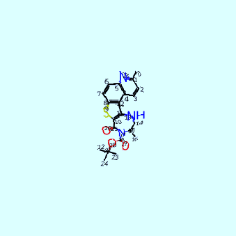 Cc1ccc2c(ccc3sc4c(c32)NC[C@@H](C)N(C(=O)OC(C)(C)C)C4=O)n1